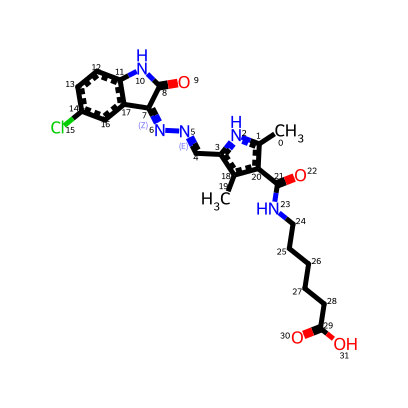 Cc1[nH]c(/C=N/N=C2\C(=O)Nc3ccc(Cl)cc32)c(C)c1C(=O)NCCCCCC(=O)O